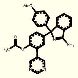 COc1ccc(C2(c3ccc(OC(=O)C(F)(F)F)c(-c4cncnc4)c3)N=C(N)c3ccccc32)cc1